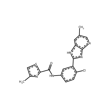 Cc1cnc2nc(-c3cc(NC(=O)c4nc(C)cs4)ccc3Cl)[nH]c2c1